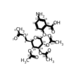 CC(=O)OC[C@H]1O[C@@H](Oc2ccc(N)cc2C(=O)O)[C@H](OC(C)=O)[C@@H](OC(C)=O)[C@@H]1OC(C)=O